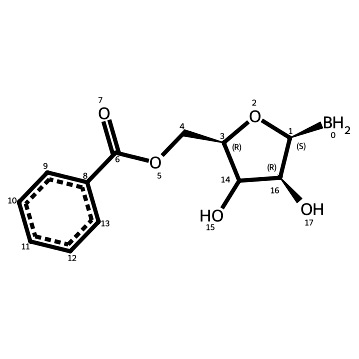 B[C@@H]1O[C@H](COC(=O)c2ccccc2)C(O)[C@@H]1O